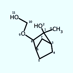 CC1(O)C2CCC(C2)C1OCO